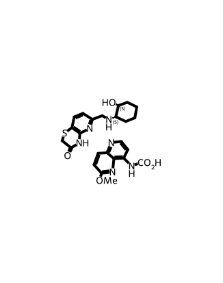 COc1ccc2nccc(NC(=O)O)c2n1.O=C1CSc2ccc(CN[C@H]3CCCC[C@@H]3O)nc2N1